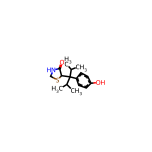 CC(C)C(c1ccc(O)cc1)(C(C)C)C1SCNC1=O